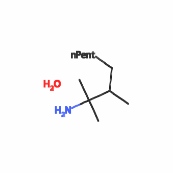 CCCCCCC(C)C(C)(C)N.O